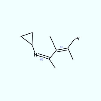 CC(=N/C1CC1)/C(C)=C(\C)C(C)C